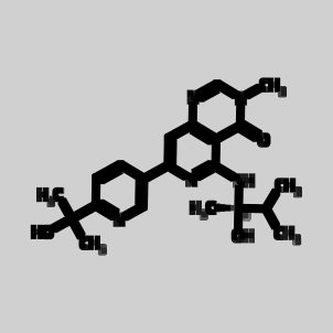 CC(C)[C@@](C)(O)Nc1nc(-c2ccc(C(C)(C)O)nc2)cc2ncn(C)c(=O)c12